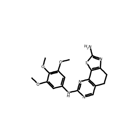 COc1cc(Nc2ncc3c(n2)-c2sc(N)nc2CC3)cc(OC)c1OC